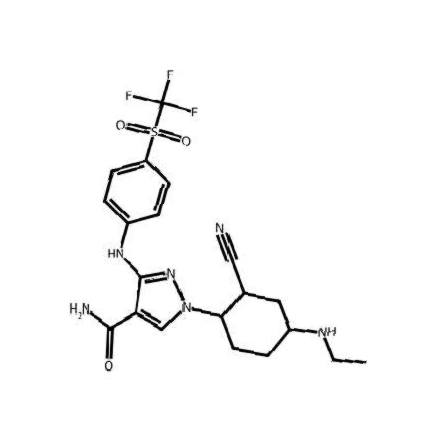 CCNC1CCC(n2cc(C(N)=O)c(Nc3ccc(S(=O)(=O)C(F)(F)F)cc3)n2)C(C#N)C1